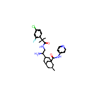 CC1CC2CC(C(N)CNC(=O)C(C)(C)c3ccc(Cl)cc3F)CC(C(=O)Nc3ccncc3)(C1)C2